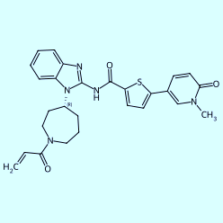 C=CC(=O)N1CCC[C@@H](n2c(NC(=O)c3ccc(-c4ccc(=O)n(C)c4)s3)nc3ccccc32)CC1